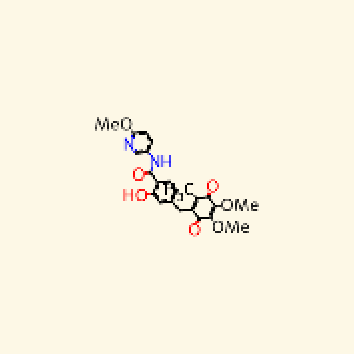 COC1=C(OC)C(=O)C(Cc2ccc(C(=O)Nc3ccc(OC)nc3)c(O)c2)=C(C)C1=O